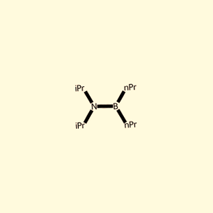 CCCB(CCC)N(C(C)C)C(C)C